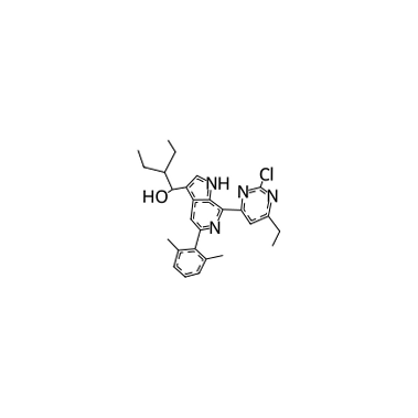 CCc1cc(-c2nc(-c3c(C)cccc3C)cc3c(C(O)C(CC)CC)c[nH]c23)nc(Cl)n1